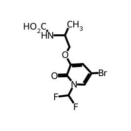 CC(COc1cc(Br)cn(C(F)F)c1=O)NC(=O)O